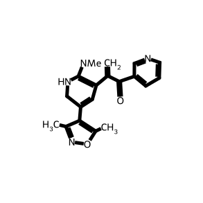 C=C(C(=O)c1cccnc1)C1=C(NC)NCC(c2c(C)noc2C)=C1